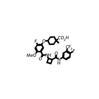 COc1cc(F)c(OC2CCC(C)(C(=O)O)CC2)cc1C(=O)NC1CCC1C(=O)Nc1ccc(F)c(C(F)(F)F)c1